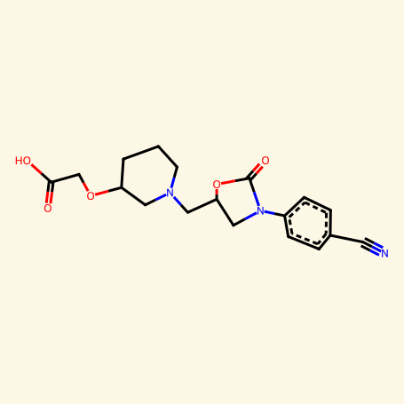 N#Cc1ccc(N2CC(CN3CCCC(OCC(=O)O)C3)OC2=O)cc1